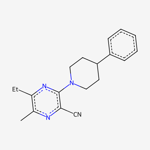 CCc1nc(N2CCC(c3ccccc3)CC2)c(C#N)nc1C